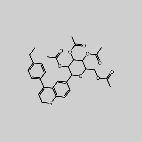 CCc1ccc(C2=CCSc3ccc(C4OC(COC(C)=O)C(OC(C)=O)C(OC(C)=O)C4OC(C)=O)cc32)cc1